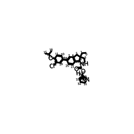 CCC1(CC)Cc2cc(-c3ccc(OC(C)C)c(Cl)c3)ccc2C1NC(=O)O[C@H]1CN2CCC1CC2